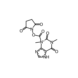 CN1C(=O)c2[nH]cnc2[N+](C)(C(=O)ON2C(=O)CCC2=O)C1=O